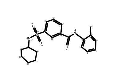 Cc1ccccc1NC(=O)c1cccc(S(=O)(=O)NC2CCCCC2)c1